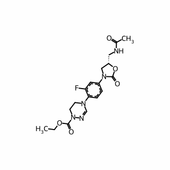 CCOC(=O)N1CCN(c2ccc(N3C[C@H](CNC(C)=O)OC3=O)cc2F)C=N1